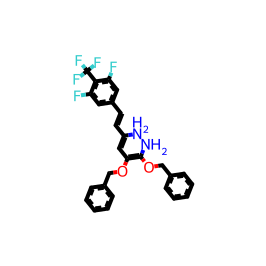 NC(=C\C(OCc1ccccc1)=C(/N)OCc1ccccc1)/C=C/c1cc(F)c(C(F)(F)F)c(F)c1